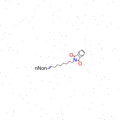 CCCCCCCCC/C=C/CCCCCCCN1C(=O)C2C3C=CC(C3)C2C1=O